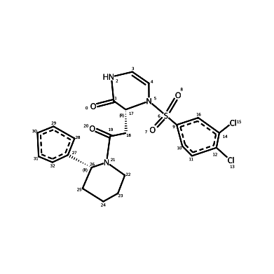 O=C1NC=CN(S(=O)(=O)c2ccc(Cl)c(Cl)c2)[C@@H]1CC(=O)N1CCCC[C@@H]1c1ccccc1